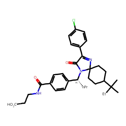 CCC[C@H](c1ccc(C(=O)NCCC(=O)O)cc1)N1C(=O)C(c2ccc(Cl)cc2)=NC12CCC(C(C)(C)CC)CC2